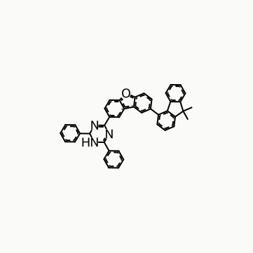 CC1(C)c2ccccc2-c2c(-c3ccc4oc5ccc(C6=NC(c7ccccc7)NC(c7ccccc7)=N6)cc5c4c3)cccc21